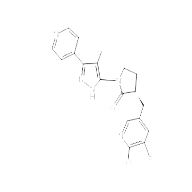 Cc1c(-c2ccncc2)n[nH]c1N1CC[C@@H](Cc2cnc(Cl)c(F)c2)C1=O